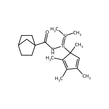 CC1=C[C](C)([Ti]([NH]C(=O)C23CCC(CC2)C3)=[Si](C)C)C(C)=C1C